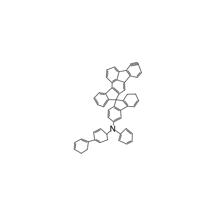 c1ccc2c(c#1)-c1cccc3c4c(cc-2c13)C1(C2=C(C=CCC2)c2cc(N(c3ccccc3)C3C=CC(C5=CC=CCC5)=CC3)ccc21)c1ccccc1-4